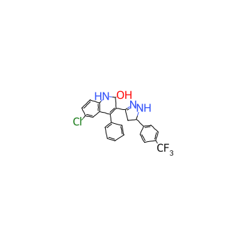 OC1Nc2ccc(Cl)cc2C(c2ccccc2)=C1C1=NNC(c2ccc(C(F)(F)F)cc2)C1